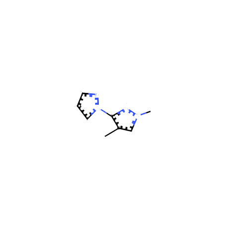 Cc1cn(C)nc1-n1cccn1